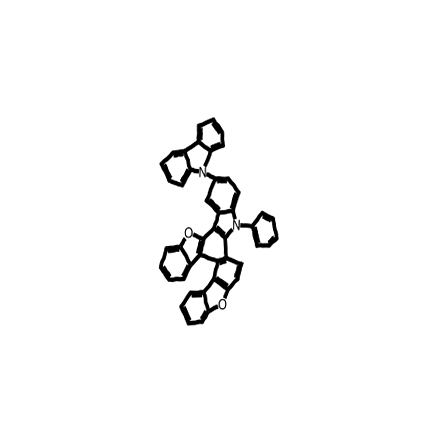 c1ccc(-n2c3ccc(-n4c5ccccc5c5ccccc54)cc3c3c4oc5ccccc5c4c4c(ccc5oc6ccccc6c54)c32)cc1